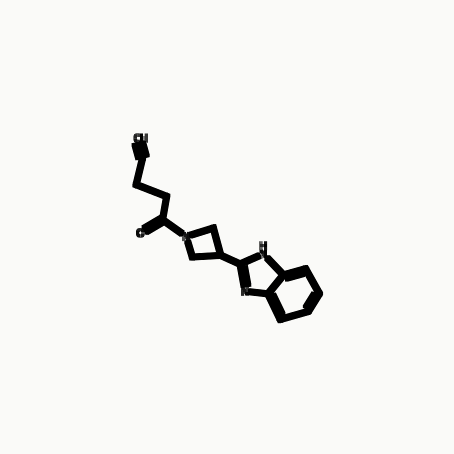 C#CCCC(=O)N1CC(c2nc3ccccc3[nH]2)C1